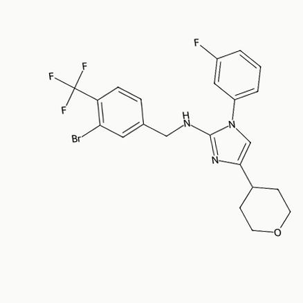 Fc1cccc(-n2cc(C3CCOCC3)nc2NCc2ccc(C(F)(F)F)c(Br)c2)c1